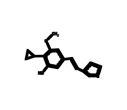 COc1cc(C=Cc2ccsc2)cc(O)c1C1CC1